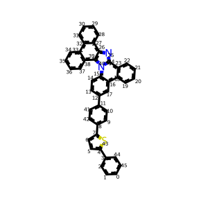 c1ccc(-c2ccc(-c3ccc(-c4ccc5c(c4)c4ccccc4c4nc6c7ccccc7c7ccccc7c6n54)cc3)s2)cc1